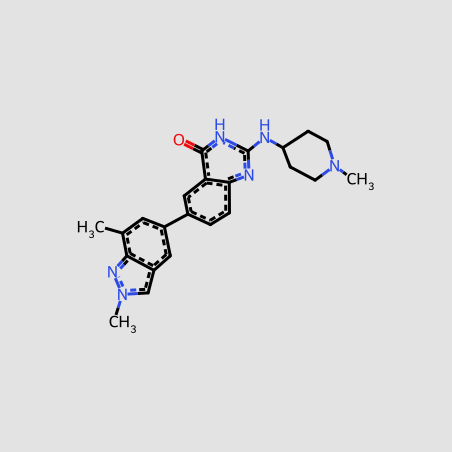 Cc1cc(-c2ccc3nc(NC4CCN(C)CC4)[nH]c(=O)c3c2)cc2cn(C)nc12